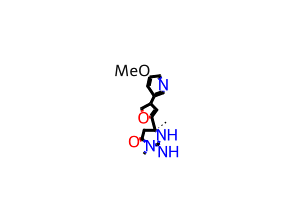 COc1cncc(C2C=C([C@]3(C)CC(=O)N(C)C(=N)N3)OC2)c1